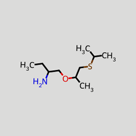 CCC(N)COC(C)CSC(C)C